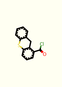 O=C(Cl)c1cccc2c1Cc1ccccc1S2